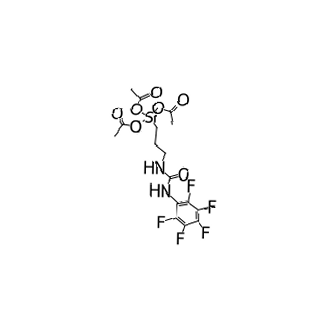 CC(=O)O[Si](CCCNC(=O)Nc1c(F)c(F)c(F)c(F)c1F)(OC(C)=O)OC(C)=O